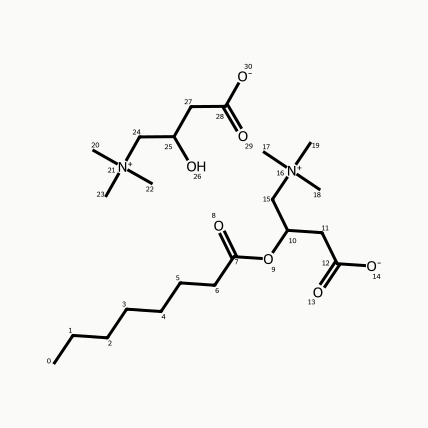 CCCCCCCC(=O)OC(CC(=O)[O-])C[N+](C)(C)C.C[N+](C)(C)CC(O)CC(=O)[O-]